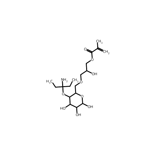 C=C(C)C(=O)OCC(O)COCC1OC(O)C(O)C(O)C1OC(N)(CC)CC